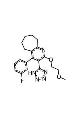 COCCOc1nc2c(c(-c3cccc(F)c3)c1-c1nnn[nH]1)CCCCC2